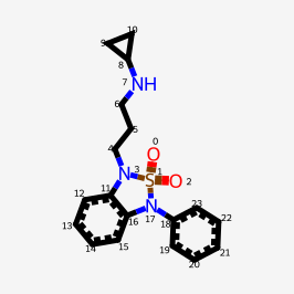 O=S1(=O)N(CCCNC2CC2)c2ccccc2N1c1ccccc1